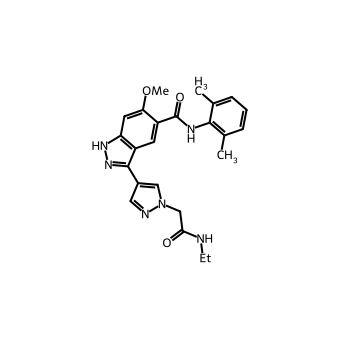 CCNC(=O)Cn1cc(-c2n[nH]c3cc(OC)c(C(=O)Nc4c(C)cccc4C)cc23)cn1